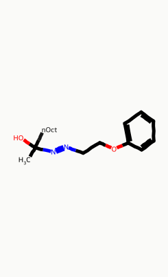 CCCCCCCCC(C)(O)N=NCCOc1ccccc1